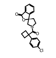 O=C1O[C@]2(CCN(C(=O)C3(c4ccc(Cl)cc4)CCC3)C2)c2ccccc21